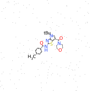 Cc1ccc(C(=O)Nc2nc3c(s2)c(C(=O)N2CCOCC2)cn3C(C)(C)C)cc1